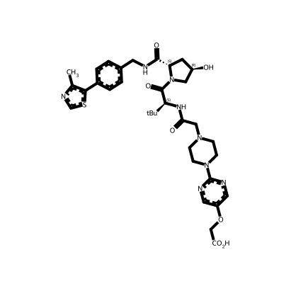 Cc1ncsc1-c1ccc(CNC(=O)[C@@H]2C[C@@H](O)CN2C(=O)[C@@H](NC(=O)CN2CCN(c3ncc(OCC(=O)O)cn3)CC2)C(C)(C)C)cc1